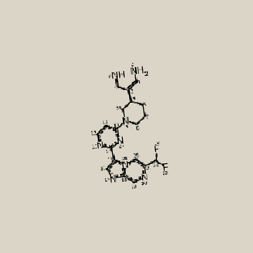 N=C/C(=C\N)C1CCCN(c2ccnc(-c3cnc4cnc(C(F)F)cn34)n2)C1